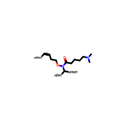 CCCCCC/C=C\CCON(C(=O)CCCCN(C)C)C(CCCCCCC)CCCCCCCCCC